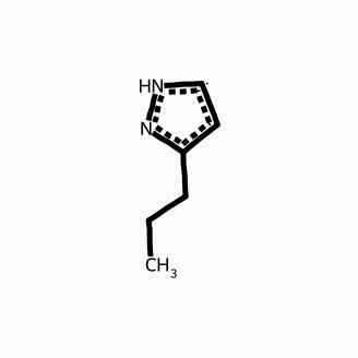 CCCc1c[c][nH]n1